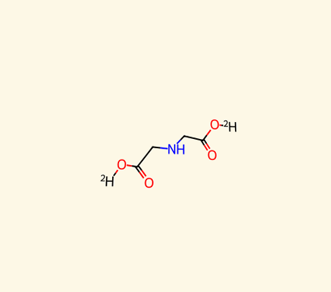 [2H]OC(=O)CNCC(=O)O[2H]